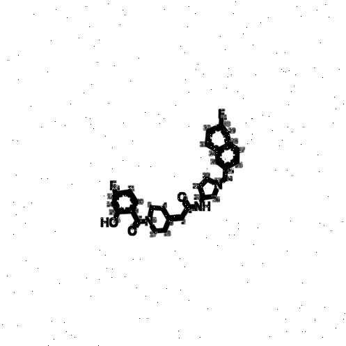 O=C(C=C1CCN(C(=O)c2ccc(F)cc2O)CC1)NC1CCN(Cc2ccc3cc(F)ccc3c2)C1